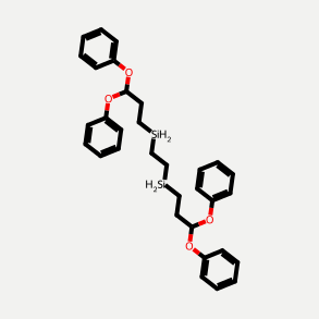 c1ccc(OC(CC[SiH2]CC[SiH2]CCC(Oc2ccccc2)Oc2ccccc2)Oc2ccccc2)cc1